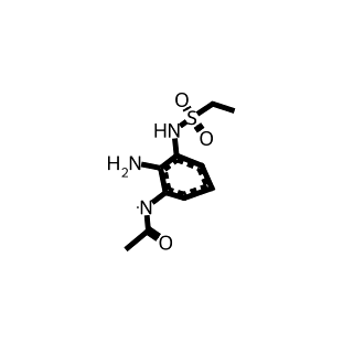 CCS(=O)(=O)Nc1cccc([N]C(C)=O)c1N